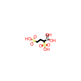 O=S(=O)(O)CCC([SiH](O)O)S(=O)(=O)O